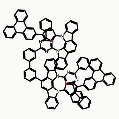 c1ccc(-c2nc(-c3cccc(-c4cccc(-c5cc6c7ccccc7n(-c7ccc(-c8ccc9c%10ccccc%10c%10ccccc%10c9c8)c(-c8ccccc8)c7)c6c6c5c5ccccc5n6-c5nc(-c6ccccc6)nc(-c6ccccc6)n5)c4)c3)nc(-n3c4ccccc4c4ccc5c6ccccc6n(-c6ccc(-c7ccc8c9ccccc9c9ccccc9c8c7)cc6)c5c43)n2)cc1